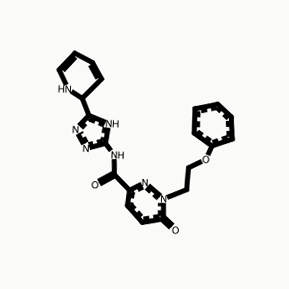 O=C(Nc1nnc(C2C=CC=CN2)[nH]1)c1ccc(=O)n(CCOc2ccccc2)n1